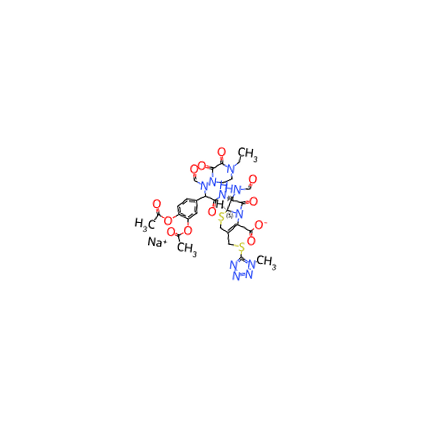 CCN1CCN(N(C=O)C(C(=O)N[C@]2(NC=O)C(=O)N3C(C(=O)[O-])=C(CSc4nnnn4C)CS[C@H]32)c2ccc(OC(C)=O)c(OC(C)=O)c2)C(=O)C1=O.[Na+]